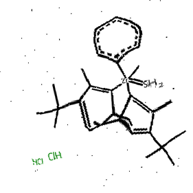 CC1=[C]([Zr]([CH3])(=[SiH2])([C]2=C(C)C(C(C)(C)C)=CC2C)[c]2ccccc2)C(C)C=C1C(C)(C)C.Cl.Cl